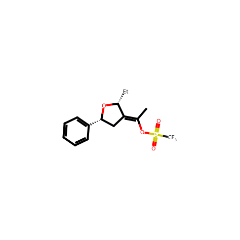 CC[C@H]1O[C@@H](c2ccccc2)C/C1=C(/C)OS(=O)(=O)C(F)(F)F